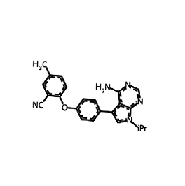 Cc1ccc(Oc2ccc(-c3cn(C(C)C)c4ncnc(N)c34)cc2)c(C#N)c1